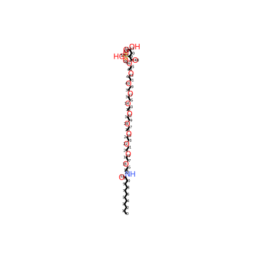 CCCCCCCCCCCC(=O)NCCOCCOCCOCCOCCOCCOCCOCCOCCOCCOCCOC(=O)C(CC(=O)O)S(=O)(=O)O